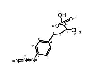 CC(CCc1ccc(N=[N+]=[N-])cc1)S(=O)(=O)O